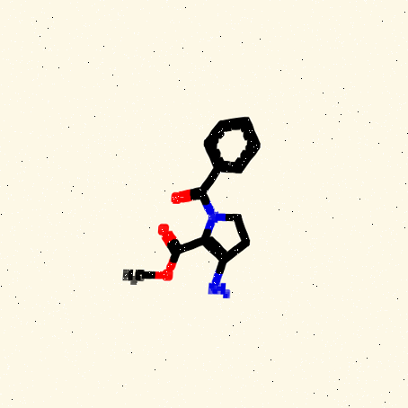 COC(=O)C1=C(N)CCN1C(=O)c1ccccc1